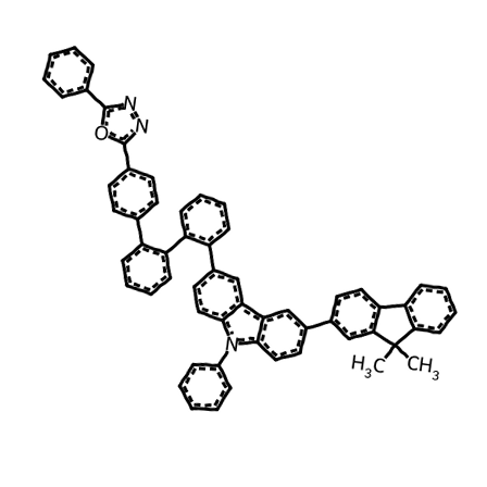 CC1(C)c2ccccc2-c2ccc(-c3ccc4c(c3)c3cc(-c5ccccc5-c5ccccc5-c5ccc(-c6nnc(-c7ccccc7)o6)cc5)ccc3n4-c3ccccc3)cc21